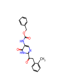 Cc1ccccc1CC(=O)c1ncc(NC(=O)OCc2ccccc2)c(=O)[nH]1